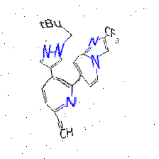 C#Cc1ccc(-c2cnn(CC(C)(C)C)c2)c(-c2ccn3cc(C(F)(F)F)nc3c2)n1